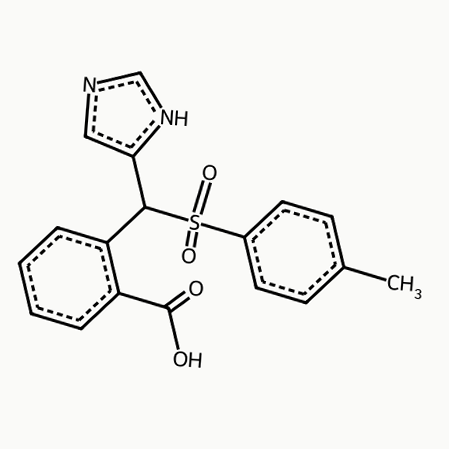 Cc1ccc(S(=O)(=O)C(c2cnc[nH]2)c2ccccc2C(=O)O)cc1